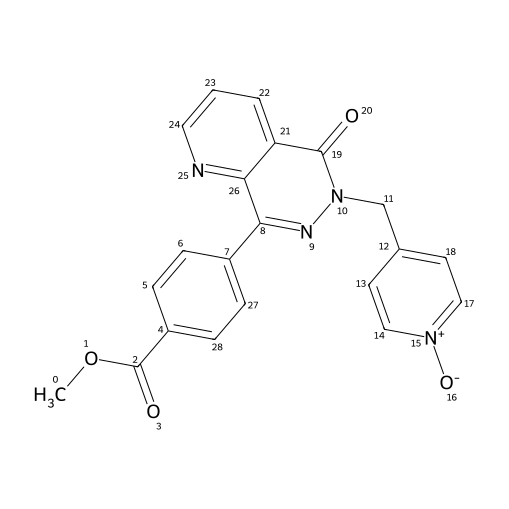 COC(=O)c1ccc(-c2nn(Cc3cc[n+]([O-])cc3)c(=O)c3cccnc23)cc1